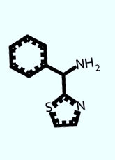 NC(c1ccccc1)c1nccs1